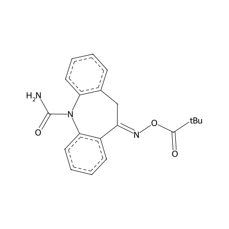 CC(C)(C)C(=O)ON=C1Cc2ccccc2N(C(N)=O)c2ccccc21